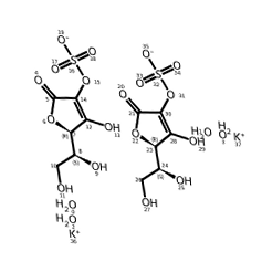 O.O.O.O.O=C1O[C@H]([C@@H](O)CO)C(O)=C1OS(=O)(=O)[O-].O=C1O[C@H]([C@@H](O)CO)C(O)=C1OS(=O)(=O)[O-].[K+].[K+]